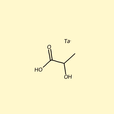 CC(O)C(=O)O.[Ta]